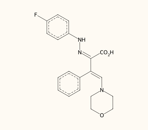 O=C(O)C(=N\Nc1ccc(F)cc1)/C(=C/N1CCOCC1)c1ccccc1